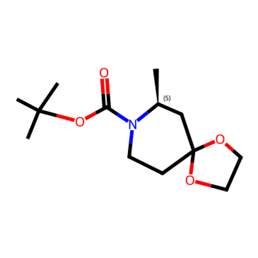 C[C@H]1CC2(CCN1C(=O)OC(C)(C)C)OCCO2